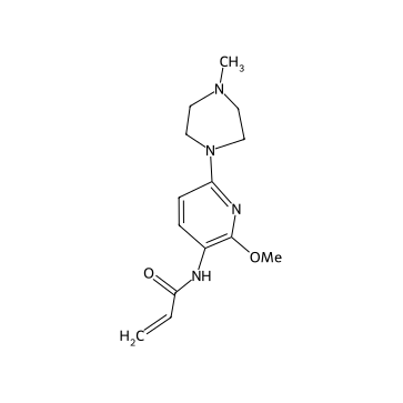 C=CC(=O)Nc1ccc(N2CCN(C)CC2)nc1OC